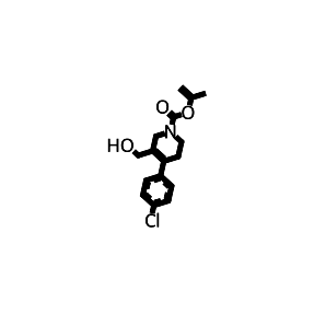 C=C(C)OC(=O)N1CCC(c2ccc(Cl)cc2)=C(CO)C1